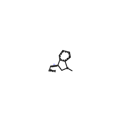 CCCCC/C=C1\CN(C)c2ccccc21